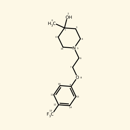 CC1(O)CCN(CCOc2ccc(C(F)(F)F)cc2)CC1